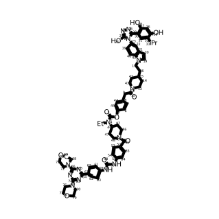 CCN(C(=O)Oc1ccc(CC(=O)N2CCC(CCn3ccc4cc(-n5c(O)nnc5-c5cc(C(C)C)c(O)cc5O)ccc43)CC2)cc1)C1CCN(C(=O)c2ccc(NC(=O)Nc3ccc(-c4nc(N5CCOCC5)nc(N5CCOCC5)n4)cc3)cc2)CC1